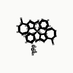 CC1=CC2=C(C=CC=CC2C)C1[Si](c1ccccc1)(c1ccccc1)C1C(C)=CC2=C1C=CC=CC2C.[Cl-].[Cl-].[Zr+2]